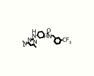 Cc1cc(N(C)C)nc(N[C@H]2CC[C@@H](C(=O)NCc3cccc(C(F)(F)F)c3)CC2)n1